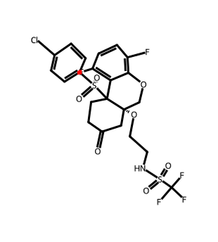 O=C1CCC2(S(=O)(=O)c3ccc(Cl)cc3)c3c(F)ccc(F)c3OC[C@@]2(OCCNS(=O)(=O)C(F)(F)F)C1